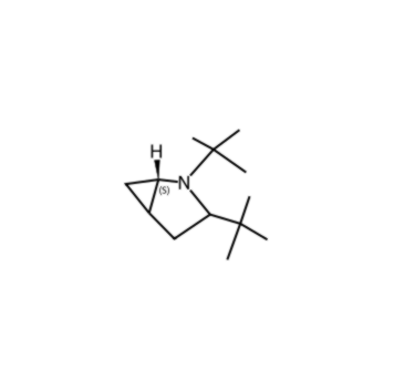 CC(C)(C)C1CC2C[C@@H]2N1C(C)(C)C